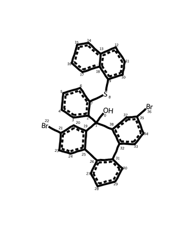 OC1(c2ccccc2Sc2cccc3ccccc23)c2cc(Br)ccc2-c2ccccc2-c2ccc(Br)cc21